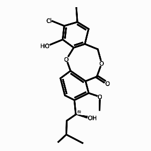 COc1c([C@@H](O)CC(C)C)ccc2c1C(=O)OCc1cc(C)c(Cl)c(O)c1O2